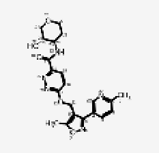 Cc1ccc(-c2noc(C)c2COc2ccc(C(=O)N[C@@H]3CCOC[C@H]3O)nn2)cn1